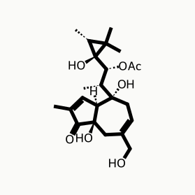 CC(=O)O[C@H]([C@@H](C)[C@@]1(O)CC=C(CO)C[C@]2(O)C(=O)C(C)=C[C@@H]12)[C@]1(O)[C@H](C)C1(C)C